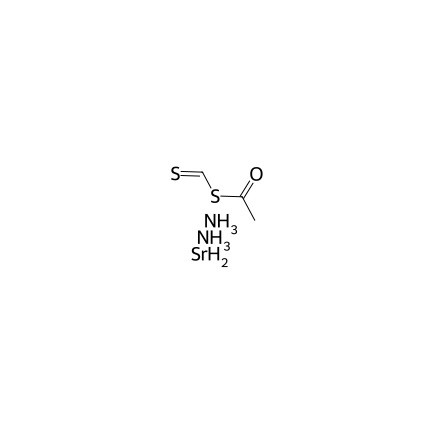 CC(=O)SC=S.N.N.[SrH2]